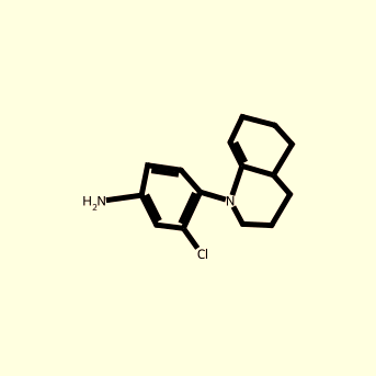 Nc1ccc(N2CCCC3CCCC=C32)c(Cl)c1